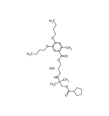 CCCCOc1cc(C)c(C(=O)OC[C@@H](O)CNC(C)(C)COC(=O)C2CCCC2)cc1OCCCC